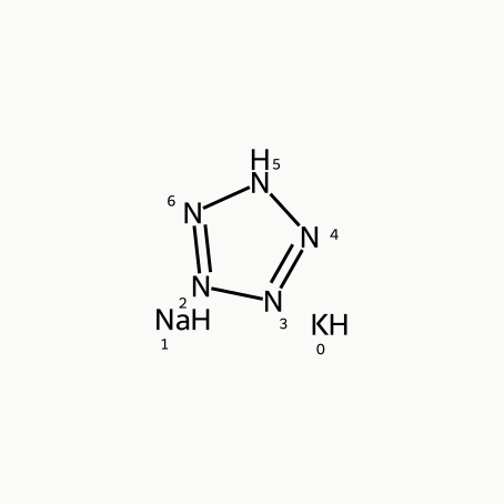 [KH].[NaH].n1nn[nH]n1